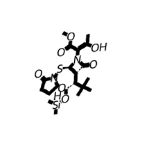 COC(=O)C(=C(C)O)N1C(=O)[C@H]([C@@H](CO[SiH](C)C)C(C)(C)C)[C@H]1SN1C(=O)CCC1=O